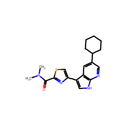 CN(C)C(=O)c1nc(-c2c[nH]c3ncc(C4CCCCC4)cc23)cs1